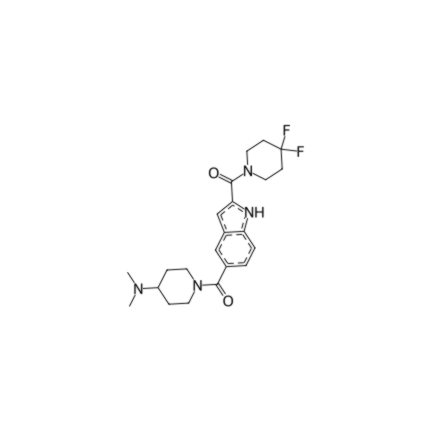 CN(C)C1CCN(C(=O)c2ccc3[nH]c(C(=O)N4CCC(F)(F)CC4)cc3c2)CC1